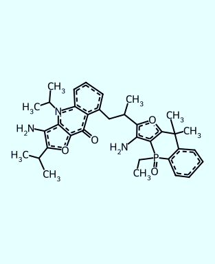 CCP1(=O)c2ccccc2C(C)(C)c2oc(C(C)Cc3cccc4c3c(=O)c3oc(C(C)C)c(N)c3n4C(C)C)c(N)c21